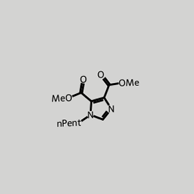 CCCCCn1cnc(C(=O)OC)c1C(=O)OC